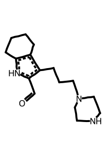 O=Cc1[nH]c2c(c1CCCN1CCNCC1)CCCC2